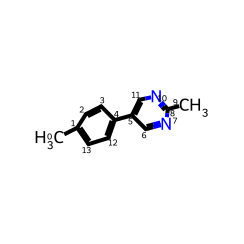 Cc1ccc(-c2cnc(C)nc2)cc1